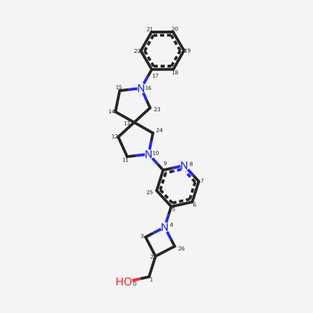 OCC1CN(c2ccnc(N3CCC4(CCN(c5ccccc5)C4)C3)c2)C1